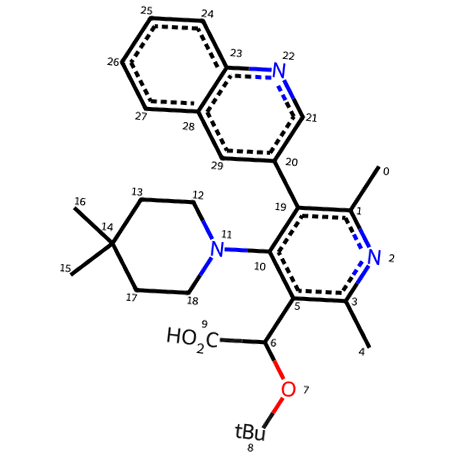 Cc1nc(C)c(C(OC(C)(C)C)C(=O)O)c(N2CCC(C)(C)CC2)c1-c1cnc2ccccc2c1